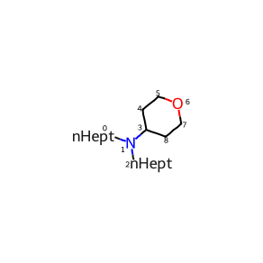 CCCCCCCN(CCCCCCC)C1CCOCC1